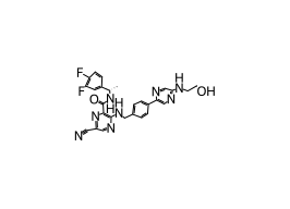 C[C@H](NC(=O)c1nc(C#N)cnc1NCc1ccc(-c2cnc(NCCO)cn2)cc1)c1ccc(F)c(F)c1